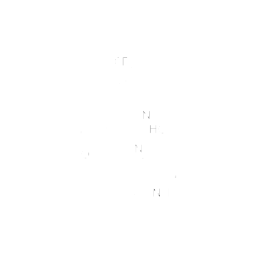 Cl.FC(F)(F)c1cnc2c(c1)COCC1CNCCN21